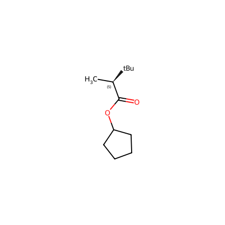 C[C@H](C(=O)OC1CCCC1)C(C)(C)C